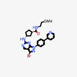 COCCNC(=O)[C@@H]1CC[C@@H](Nc2ncc3c(Br)nn(-c4ccc(-c5cccnc5)cc4)c3n2)C1